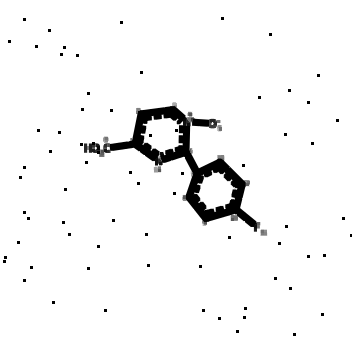 O=C(O)c1cc[n+]([O-])c(-c2ccc(F)cc2)n1